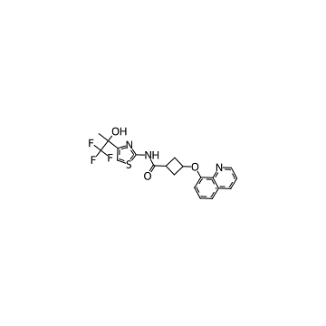 CC(O)(c1csc(NC(=O)C2CC(Oc3cccc4cccnc34)C2)n1)C(F)(F)F